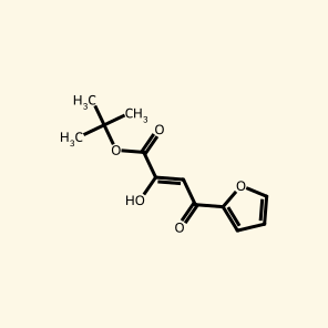 CC(C)(C)OC(=O)C(O)=CC(=O)c1ccco1